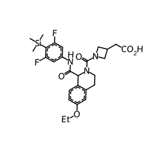 CCOc1ccc2c(c1)CCN(C(=O)N1CC(CC(=O)O)C1)C2C(=O)Nc1cc(F)c([Si](C)(C)C)c(F)c1